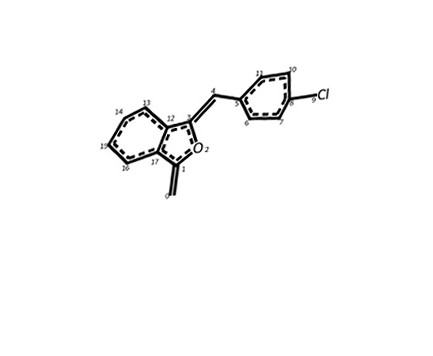 C=c1o/c(=C\c2ccc(Cl)cc2)c2ccccc12